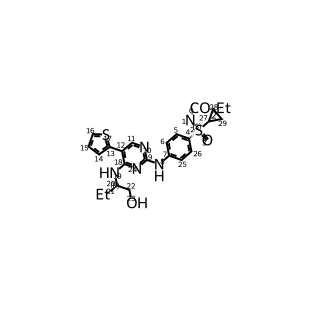 CCOC(=O)N=[S@@](=O)(c1ccc(Nc2ncc(-c3cccs3)c(N[C@H](CC)CO)n2)cc1)C1CC1